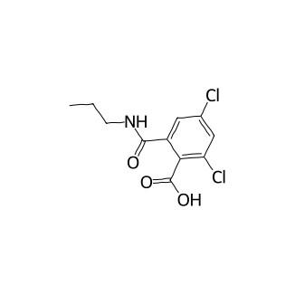 CCCNC(=O)c1cc(Cl)cc(Cl)c1C(=O)O